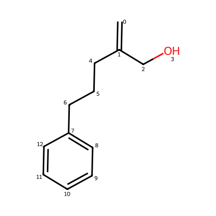 C=C(CO)CCCc1ccccc1